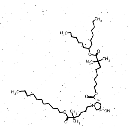 CCCCCCCCCCCOC(=O)C(C)(C)CCCCN1C[C@@H](O)C[C@H]1C(=O)OCCCCCCC(C)(C)C(=O)OC(CCCCCCC)CCCCCCC